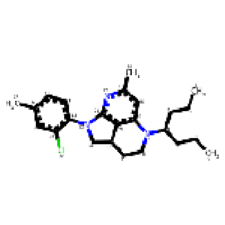 CCCC(CCC)N1CCC2CN(c3ccc(C)cc3Cl)c3nc(C)cc1c32